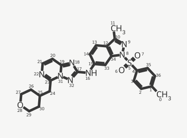 Cc1ccc(S(=O)(=O)n2nc(C)c3ccc(Nc4nc5ccnc(CC6CCOCC6)n5n4)cc32)cc1